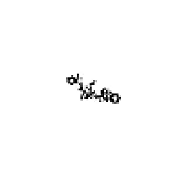 C=CCn1c(CNc2ccccc2)nnc1SCC(=O)Nc1ccccc1Cl